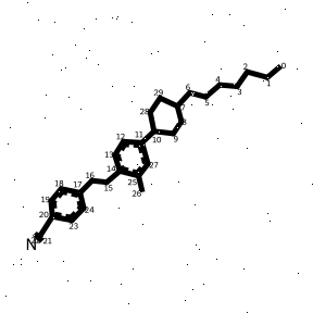 CCCCCCCC1CCC(c2ccc(CCc3ccc(C#N)cc3)c(C)c2)CC1